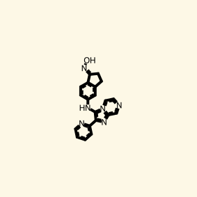 O/N=C1\CCc2cc(Nc3c(-c4ccccn4)nc4cnccn34)ccc21